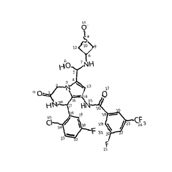 O=C1Cn2c(C(O)NC3C[S+]([O-])C3)cc(NC(=O)c3cc(F)cc(C(F)(F)F)c3)c2C(c2cc(F)ccc2Cl)N1